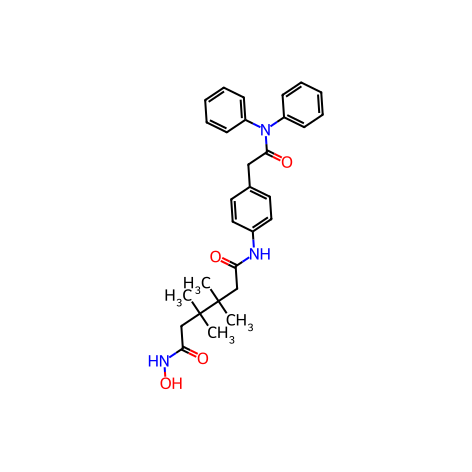 CC(C)(CC(=O)NO)C(C)(C)CC(=O)Nc1ccc(CC(=O)N(c2ccccc2)c2ccccc2)cc1